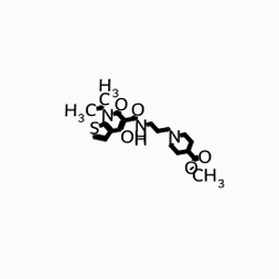 COC(=O)C1CCN(CCCNC(=O)c2c(O)c3ccsc3n(C(C)C)c2=O)CC1